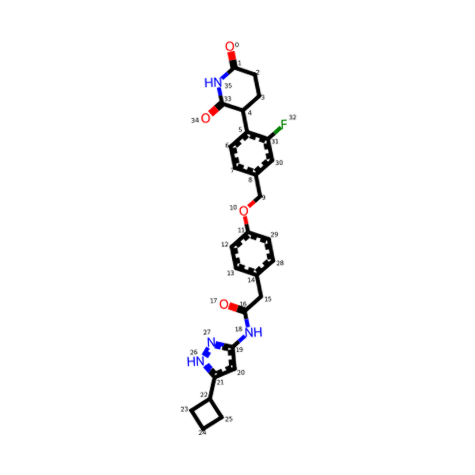 O=C1CCC(c2ccc(COc3ccc(CC(=O)Nc4cc(C5CCC5)[nH]n4)cc3)cc2F)C(=O)N1